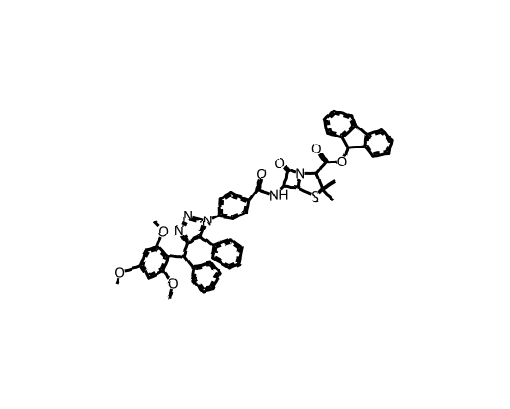 COc1cc(OC)c(C(c2ccccc2)c2nnn(-c3ccc(C(=O)NC4C(=O)N5C4SC(C)(C)C5C(=O)OC4c5ccccc5-c5ccccc54)cc3)c2-c2ccccc2)c(OC)c1